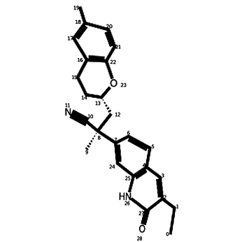 CCc1cc2ccc([C@@](C)(C#N)C[C@@H]3CCc4cc(C)ccc4O3)cc2[nH]c1=O